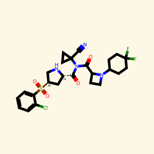 N#CC1(N(C(=O)C2CCN2C2CCC(F)(F)CC2)C(=O)[C@@H]2C[C@@H](S(=O)(=O)c3ccccc3Cl)CN2)CC1